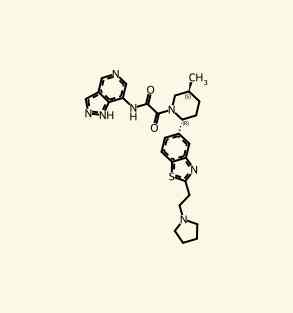 C[C@H]1CC[C@H](c2ccc3sc(CCN4CCCC4)nc3c2)N(C(=O)C(=O)Nc2cncc3cn[nH]c23)C1